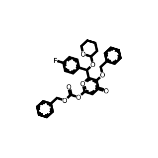 O=C(OCc1ccccc1)Oc1cc(=O)c(OCc2ccccc2)c(C(OC2CCCCO2)c2ccc(F)cc2)o1